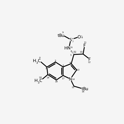 Cc1cc2c([C@H](N[S+]([O-])C(C)(C)C)C(F)F)cn(CC(C)(C)C)c2cc1C